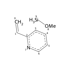 C=Cc1ccccn1.CO[SiH3]